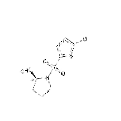 O=[C][C@@H]1CCCN1S(=O)(=O)c1ccc(Cl)s1